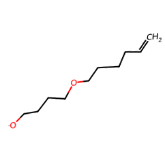 C=CCCCCOCCCC[O]